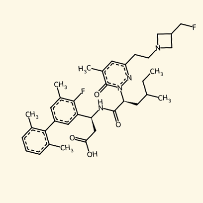 CCC(C)C[C@@H](C(=O)N[C@@H](CC(=O)O)c1cc(-c2c(C)cccc2C)cc(C)c1F)n1nc(CCN2CC(CF)C2)cc(C)c1=O